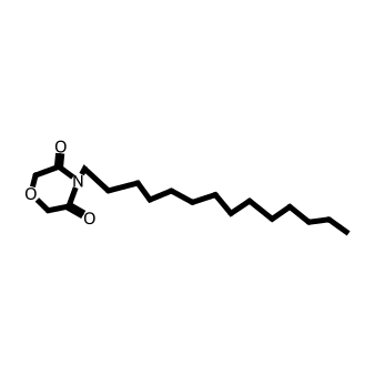 CCCCCCCCCCCCCCN1C(=O)COCC1=O